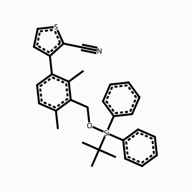 Cc1ccc(-c2ccsc2C#N)c(C)c1CO[Si](c1ccccc1)(c1ccccc1)C(C)(C)C